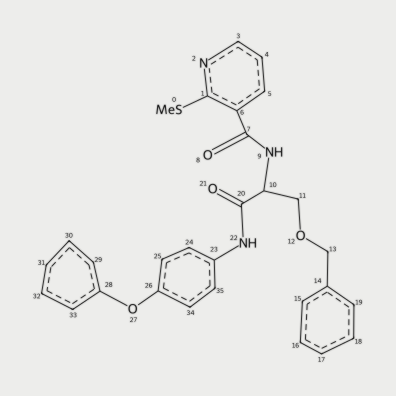 CSc1ncccc1C(=O)NC(COCc1ccccc1)C(=O)Nc1ccc(Oc2ccccc2)cc1